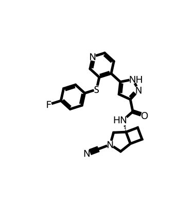 N#CN1CC2CC[C@]2(NC(=O)c2cc(-c3ccncc3Sc3ccc(F)cc3)[nH]n2)C1